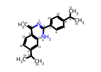 C=C(/N=C(\N)c1ccc(C(C)C)cc1)c1ccc(C(C)C)cc1